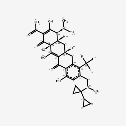 CN(C)[C@@H]1C(O)=C(C(N)=O)C(=O)[C@@]2(O)C(O)=C3C(=O)c4c(O)cc(CN(C)C5(C6CC6)CC5)c(C(F)(F)F)c4C[C@H]3C[C@@H]12